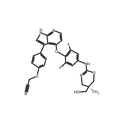 C[C@]1(CO)CN=C(Nc2cc(F)c(Oc3ccnc4[nH]cc(-c5ccc(OCC#N)cc5)c34)c(F)c2)OC1